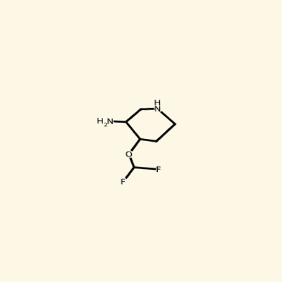 NC1CNCCC1OC(F)F